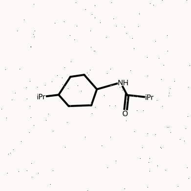 CC(C)C(=O)NC1CCC(C(C)C)CC1